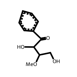 COC(CO)C(O)C(=O)c1ccccc1